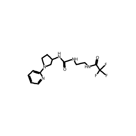 O=C(NCCNC(=O)C(F)(F)F)NC1CCN(c2ccccn2)C1